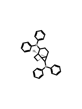 C[C@@]12CCC(N(c3ccccc3)c3ccccc3)[C@@H]3CC[C@]31C2N(c1ccccc1)c1ccccc1